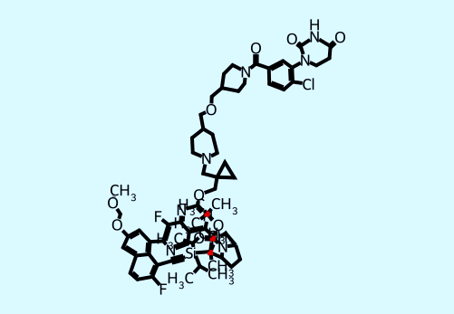 COCOc1cc(-c2ncc3c(N4CC5CCC(C4)N5C(=O)OC(C)(C)C)nc(OCC4(CN5CCC(COCC6CCN(C(=O)c7ccc(Cl)c(N8CCC(=O)NC8=O)c7)CC6)CC5)CC4)nc3c2F)c2c(C#C[Si](C(C)C)(C(C)C)C(C)C)c(F)ccc2c1